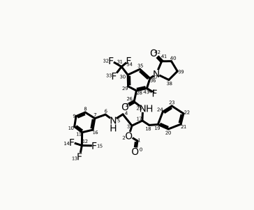 O=COC(CNCc1cccc(C(F)(F)F)c1)C(Cc1ccccc1)NC(=O)c1cc(C(F)(F)F)cc(N2CCCC2=O)c1F